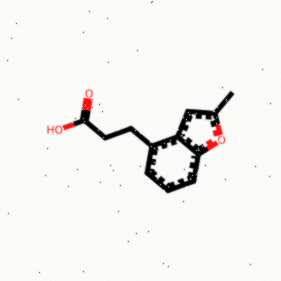 Cc1cc2c(CCC(=O)O)cccc2o1